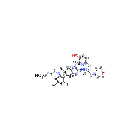 Cc1cc(C)cc(N(CCCC(=O)O)Cc2ccc3nc(NCCCN4CCOCC4)n(Cc4nc(C)ccc4O)c3c2)c1